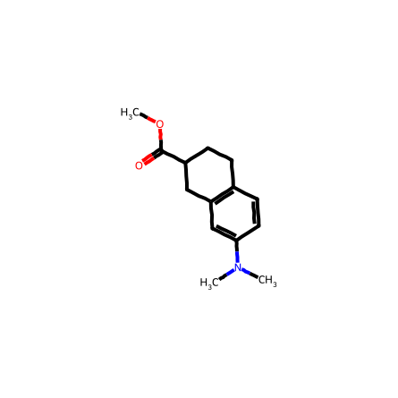 COC(=O)C1CCc2ccc(N(C)C)cc2C1